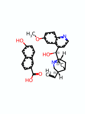 C=C[C@@H]1CN2CCC1C[C@H]2[C@@H](O)c1ccnc2ccc(OC)cc12.O=C(O)c1ccc2cc(O)ccc2c1